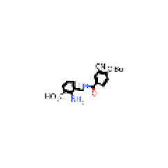 CC(C)COc1ccc(C(=O)NCc2cccc(C(=O)O)c2N)cc1C#N